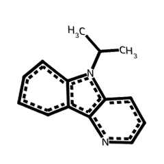 CC(C)n1c2ccccc2c2ncccc21